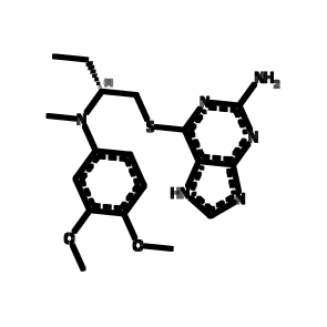 CC[C@H](CSc1nc(N)nc2nc[nH]c12)N(C)c1ccc(OC)c(OC)c1